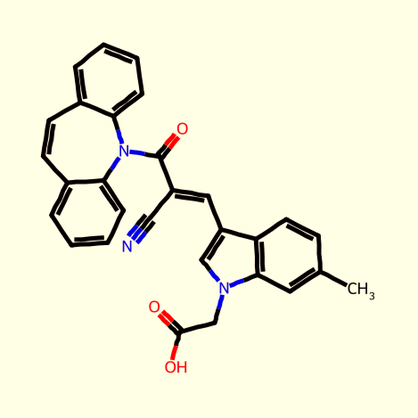 Cc1ccc2c(C=C(C#N)C(=O)N3c4ccccc4C=Cc4ccccc43)cn(CC(=O)O)c2c1